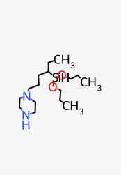 CCCO[SiH](OCCC)C(CC)CCCN1CCNCC1